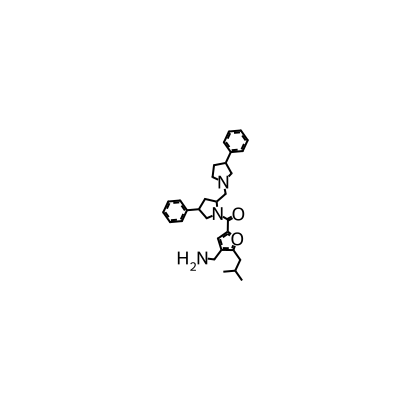 CC(C)Cc1oc(C(=O)N2CC(c3ccccc3)CC2CN2CCC(c3ccccc3)C2)cc1CN